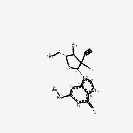 C#CC1(F)C(O)[C@@H](CO)O[C@H]1n1cnc2c(=O)[nH]c(NC(C)(C)C)nc21